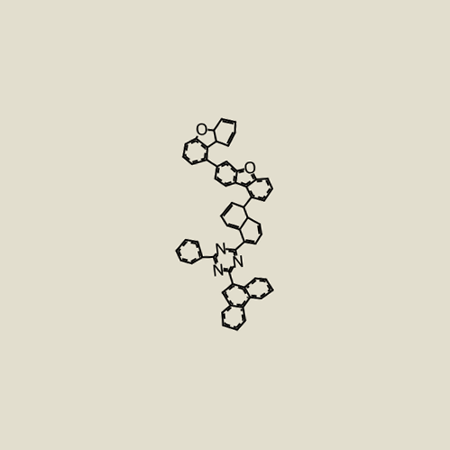 C1=CC2Oc3cccc(-c4ccc5c(c4)oc4cccc(C6C=CC=C7C(c8nc(-c9ccccc9)nc(-c9cc%10ccccc%10c%10ccccc9%10)n8)=CC=CC76)c45)c3C2C=C1